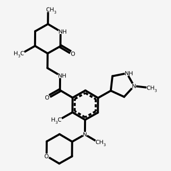 Cc1c(C(=O)NCC2C(=O)NC(C)CC2C)cc(C2CNN(C)C2)cc1N(C)C1CCOCC1